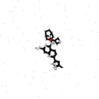 Cc1cc(-c2ccc3c(NC4CC5CCC(C4)N5CC4COC4)nc(N)cc3n2)n[nH]1